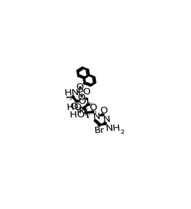 CC(C)OC(=O)[C@@H](C)NP(=O)(OC[C@H]1O[C@@H](n2cc(Br)c(N)nc2=O)[C@](C)(O)[C@@H]1O)Oc1cccc2ccccc12